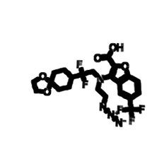 [N-]=[N+]=NCCN(CC(F)(F)C1CCC2(CC1)OCCO2)c1c(C(=O)O)oc2ccc(C(F)(F)F)cc12